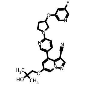 CC(C)(O)COc1cc(-c2ccc(N3CCC(Oc4cncc(F)c4)C3)nc2)c2c(C#N)cnn2c1